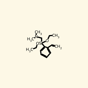 C=Cc1ccccc1[Si](CN(C)C)(OCC)OCC